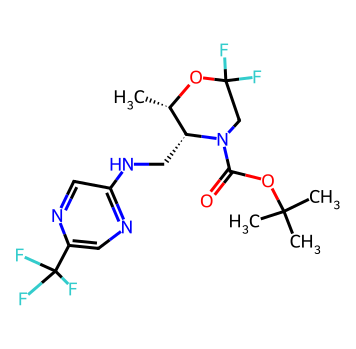 C[C@@H]1OC(F)(F)CN(C(=O)OC(C)(C)C)[C@@H]1CNc1cnc(C(F)(F)F)cn1